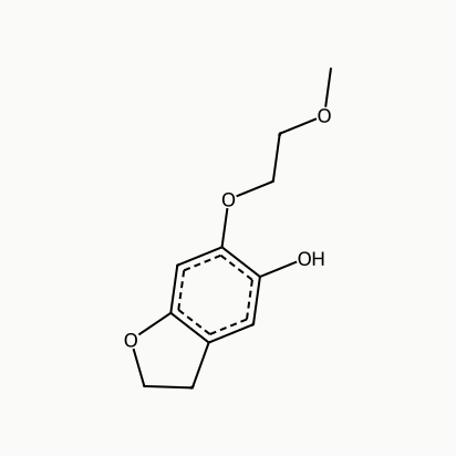 COCCOc1cc2c(cc1O)CCO2